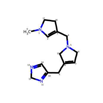 CN1C=C(CN2CC=C(CC3=NCN=C3)C2)CC1